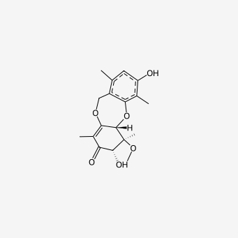 CO[C@@]1(C)[C@H](O)C(=O)C(C)=C2OCc3c(C)cc(O)c(C)c3O[C@@H]21